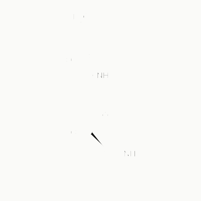 C=CC(=O)NCOC(=O)[C@@H]1CCCN1